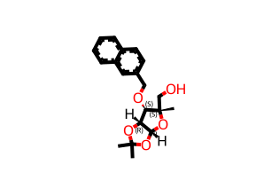 CC1(C)O[C@H]2O[C@@](C)(CO)[C@@H](OCc3ccc4ccccc4c3)[C@H]2O1